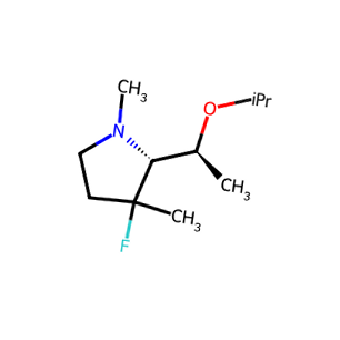 CC(C)O[C@@H](C)[C@H]1N(C)CCC1(C)F